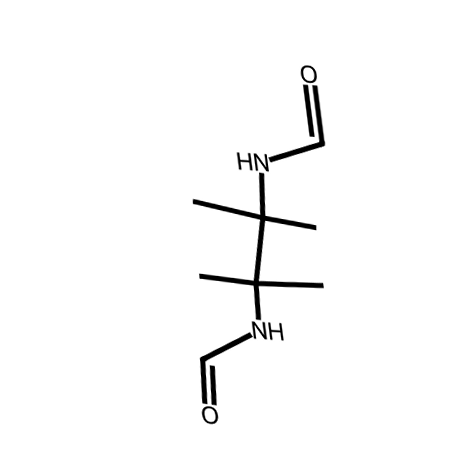 CC(C)(NC=O)C(C)(C)NC=O